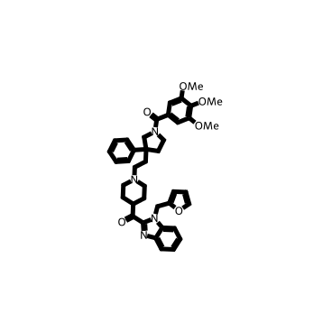 COc1cc(C(=O)N2CCC(CCN3CCC(C(=O)c4nc5ccccc5n4Cc4ccco4)CC3)(c3ccccc3)C2)cc(OC)c1OC